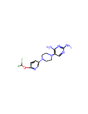 Nc1ncc(N2CCN(c3ccc(OC(F)F)nc3)CC2)c(N)n1